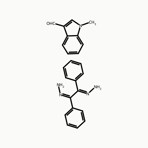 Cn1cc(C=O)c2ccccc21.NN=C(C(=NN)c1ccccc1)c1ccccc1